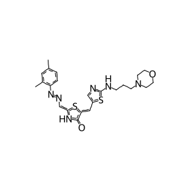 Cc1ccc(N=N/C=c2/[nH]c(=O)/c(=C/c3cnc(NCCCN4CCOCC4)s3)s2)c(C)c1